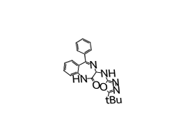 CC(C)(C)c1nnc(NC2N=C(c3ccccc3)c3ccccc3NC2=O)o1